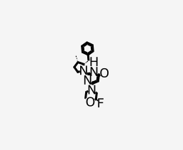 C[C@H]1CCN(c2nc(N3CCO[C@H](F)C3)cc(=O)[nH]2)[C@H]1Cc1ccccc1